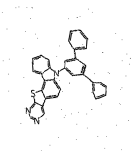 c1ccc(-c2cc(-c3ccccc3)cc(-n3c4ccccc4c4c5sc6ncncc6c5ccc43)c2)cc1